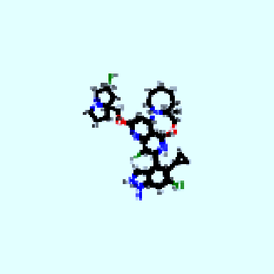 Fc1c(-c2c(C3CC3)c(Cl)cc3[nH]ncc23)nc2c3c(cc(OC[C@@]45CCCN4C[C@H](F)C5)nc13)N1CCCCC[C@H]1CO2